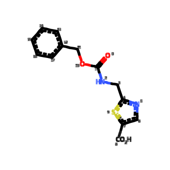 O=C(NCc1ncc(C(=O)O)s1)OCc1ccccc1